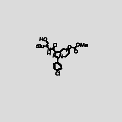 COC(=O)ON1CCn2c(-c3ccc(Cl)cc3)nc(C(=O)N[C@H](CO)C(C)(C)C)c2C1